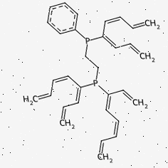 C=C/C=C\C=C(/C=C)P(CCP(C(/C=C\C=C)=C/C=C)c1ccccc1)C(/C=C\C=C)=C/C=C